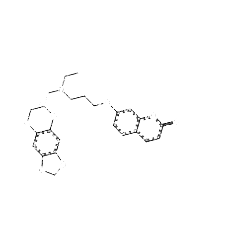 CCN(CCCOc1ccc2ccc(=O)oc2c1)C[C@H]1COc2cc3c(cc2O1)OCO3